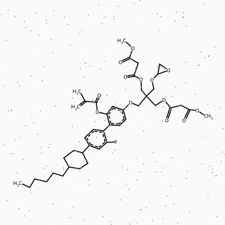 C=C(C)C(=O)Oc1cc(OCC(COC(=O)CC(=O)OC)(COC(=O)CC(=O)OC)COC2CO2)ccc1-c1ccc(C2CCC(CCCCCC)CC2)cc1F